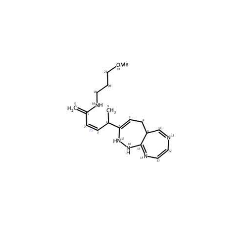 C=C(/C=C\C(C)C1=CCC2C=NC=CN=C2NN1)NCCCOC